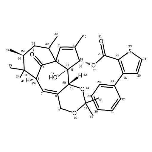 CC1=CC23C(=O)[C@@H](C=C4COC(C)(C)O[C@H]4[C@]2(O)[C@H]1OC(=O)c1sccc1-c1ccccc1)C(C)(C)[C@@H](C)CC3C